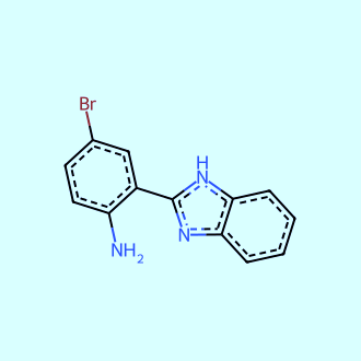 Nc1ccc(Br)cc1-c1nc2ccccc2[nH]1